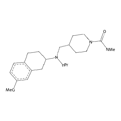 CCCN(CC1CCN(C(=O)NC)CC1)C1CCc2ccc(OC)cc2C1